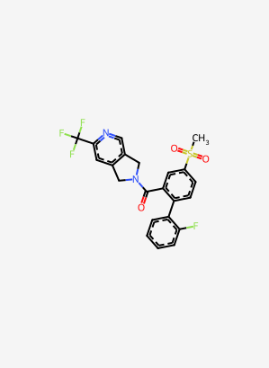 CS(=O)(=O)c1ccc(-c2ccccc2F)c(C(=O)N2Cc3cnc(C(F)(F)F)cc3C2)c1